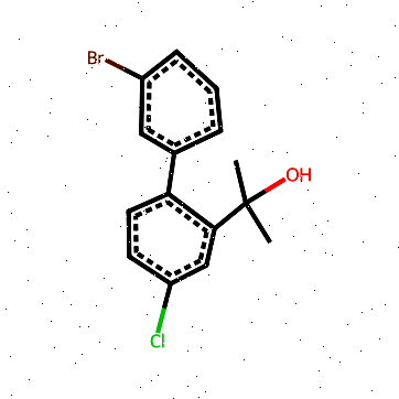 CC(C)(O)c1cc(Cl)ccc1-c1cccc(Br)c1